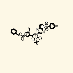 CC[C@@H]1CN(C(=O)OCc2ccccc2)CC1C(=O)CN(C(=O)OC(C)(C)C)c1cnc2c(ccn2S(=O)(=O)c2ccc(C)cc2)n1